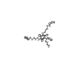 C/C=C/C=C/C(N=C=O)n1c(=O)n(CCCCCCN=C=O)c(=O)n(CCCCCCOC#N)c1=O